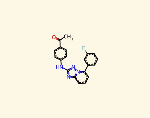 CC(=O)c1ccc(Nc2nc3cccc(-c4cccc(F)c4)n3n2)cc1